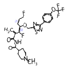 C=C(C(=O)NC(=O)C1CCN(C)CC1)/C(F)=C(\C=C/CF)OCc1nc(-c2ccc(OC(F)(F)F)cc2)ns1